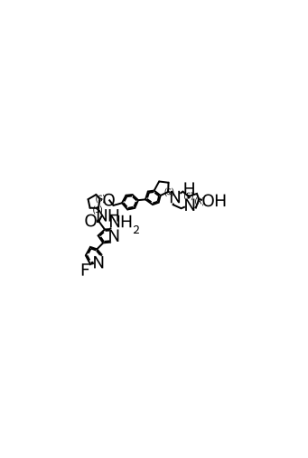 Nc1ncc(-c2ccc(F)nc2)cc1C(=O)N[C@H]1CCC[C@@H]1OCc1ccc(-c2ccc3c(c2)CC[C@@H]3N2CCN3C[C@H](O)C[C@H]3C2)cc1